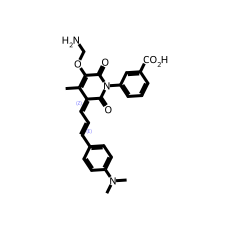 CC1=C(OCN)C(=O)N(c2cccc(C(=O)O)c2)C(=O)/C1=C\C=C\c1ccc(N(C)C)cc1